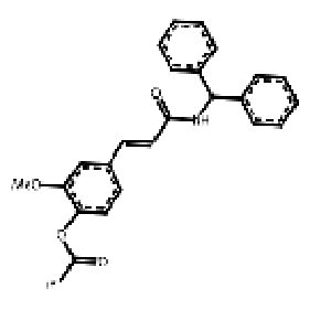 COc1cc(/C=C/C(=O)NC(c2ccccc2)c2ccccc2)ccc1OC(=O)C(C)C